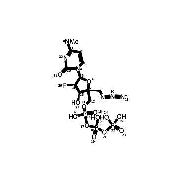 CNc1ccn(C2O[C@](CN=[N+]=[N-])(COP(=O)(O)OP(=O)(O)OP(=O)(O)O)[C@@H](O)[C@H]2F)c(=O)n1